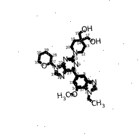 CCn1cnc2cc(-c3nc(N4CCC(CO)(CO)CC4)nc4c3ncn4C3CCCCO3)cc(OC)c21